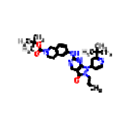 C=CCn1c(=O)c2cnc(Nc3ccc4c(c3)CCN(C(=O)OC(C)(C)C)C4)nc2n1-c1ccnc(C(C)(C)C)c1